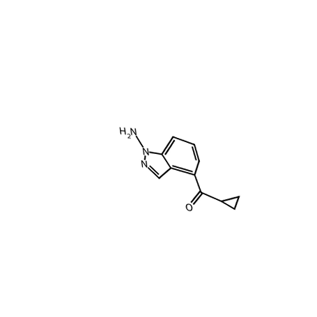 Nn1ncc2c(C(=O)C3CC3)cccc21